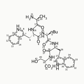 CCCC[C@H](NC(=O)[C@H](Cc1c[nH]c2ccccc12)NC(=O)[C@H](C)N)C(=O)N[C@@H](Cc1c[nH]c2ccccc12)C(=O)N[C@@H](CO)C(=O)O